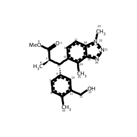 COC(=O)[C@H](C)[C@@H](c1ccc(C)c(CO)c1)c1ccc2c(nnn2C)c1C